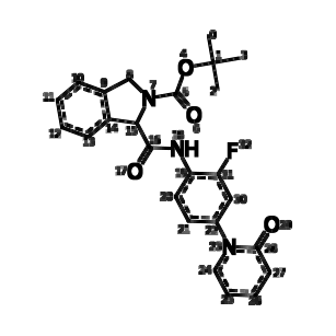 CC(C)(C)OC(=O)N1Cc2ccccc2C1C(=O)Nc1ccc(-n2ccccc2=O)cc1F